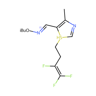 CC1=C(/C=N/OCC(C)C)[SH](CCC(F)=C(F)F)C=N1